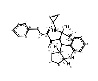 CC(NC1CC1)(C(=O)O)C(C(=O)C(=O)OCc1ccccc1)C1c2ccccc2N[C@@H]2CCC[C@H]12